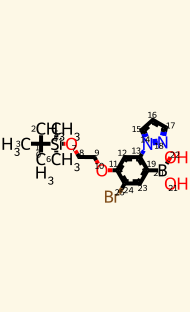 CC(C)(C)[Si](C)(C)OCCOc1cc(-n2cccn2)c(B(O)O)cc1Br